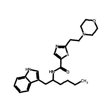 CCCCC(Cc1c[nH]c2ccccc12)NC(=O)c1cnc(CCN2CCOCC2)s1